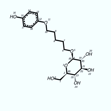 OC[C@H]1O[C@@H](OCCCCCOc2ccc(O)cc2)[C@H](O)[C@@H](O)[C@@H]1O